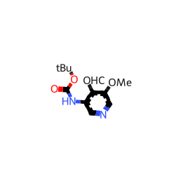 COc1cncc(NC(=O)OC(C)(C)C)c1C=O